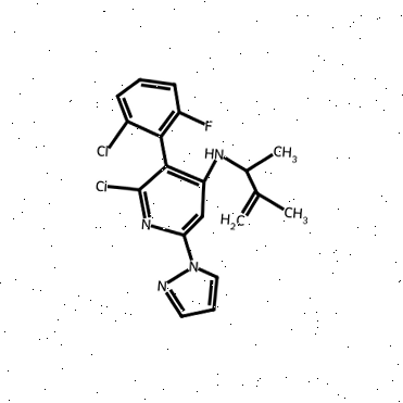 C=C(C)C(C)Nc1cc(-n2cccn2)nc(Cl)c1-c1c(F)cccc1Cl